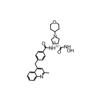 Cc1cc(Cc2ccc(C(=O)N[C@@H]3CN(C4CCOCC4)C[C@@H]3C(=O)NO)cc2)c2ccccc2n1